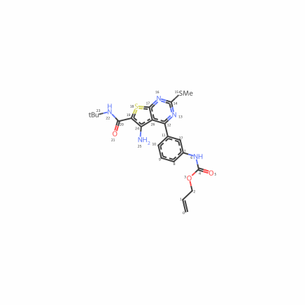 C=CCOC(=O)Nc1cccc(-c2nc(SC)nc3sc(C(=O)NC(C)(C)C)c(N)c23)c1